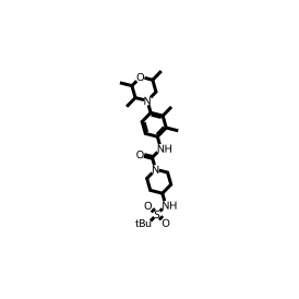 Cc1c(NC(=O)N2CCC(NS(=O)(=O)C(C)(C)C)CC2)ccc(N2CC(C)OC(C)C2C)c1C